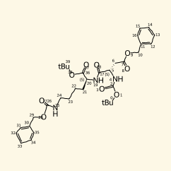 CC(C)(C)OC(=O)N[C@@H](CC(=O)OCc1ccccc1)C(=O)N[C@@H](CCCCNC(=O)OCc1ccccc1)C(=O)OC(C)(C)C